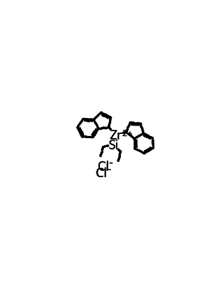 CC[Si](CC)=[Zr+2]([CH]1C=Cc2ccccc21)[CH]1C=Cc2ccccc21.[Cl-].[Cl-]